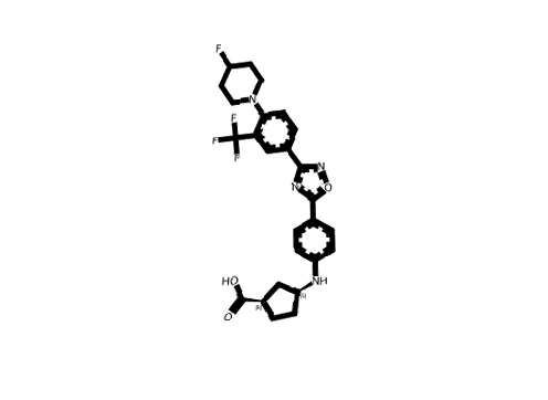 O=C(O)[C@@H]1CC[C@H](Nc2ccc(-c3nc(-c4ccc(N5CCC(F)CC5)c(C(F)(F)F)c4)no3)cc2)C1